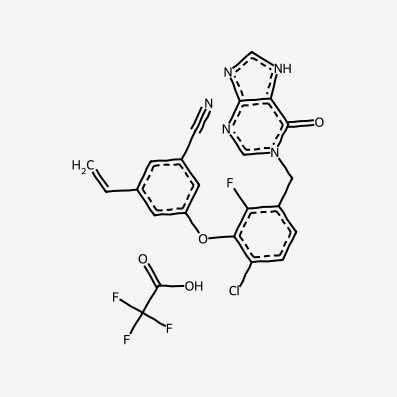 C=Cc1cc(C#N)cc(Oc2c(Cl)ccc(Cn3cnc4nc[nH]c4c3=O)c2F)c1.O=C(O)C(F)(F)F